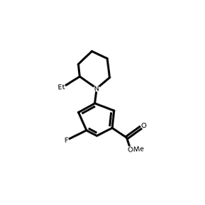 CCC1CCCCN1c1cc(F)cc(C(=O)OC)c1